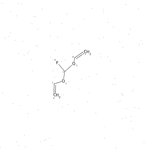 C=COC(F)OC=C